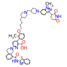 Cc1c(OCCCCC2CCN(CC3CCN(c4ccc5c(C6CCC(=O)NC6=O)nn(C)c5c4)CC3)CC2)cccc1-c1ccc(N2CCc3cccc(C(=O)Nc4nc5ccccc5s4)c3C2)nc1C(=O)O